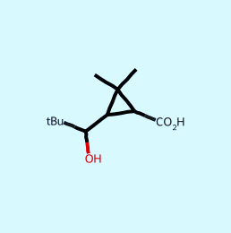 CC(C)(C)C(O)C1C(C(=O)O)C1(C)C